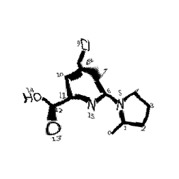 CC1CCCN1c1cc(Cl)cc(C(=O)O)n1